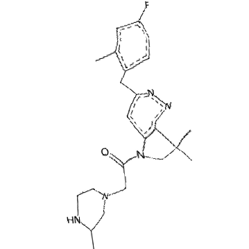 Cc1cc(F)ccc1Cc1cc2c(nn1)C(C)(C)CN2C(=O)CN1CCNC(C)C1